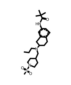 CCCN(CC1CCN(S(C)(=O)=O)CC1)C1CCc2ccc(NC(=O)C(C)(C)C)cc2C1